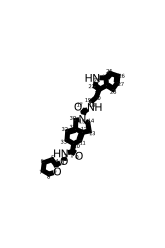 O=C(NOC1CCCCO1)C1C=C2CCN(C(=O)NCCc3c[nH]c4ccccc34)CC2=CC1